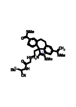 C=C(NC)c1ccc2c(c1)CCc1cc(C(=O)NC)ccc1C2(CCNCC(=O)NC(C#N)C[C@@H](C)CC)/C(N)=N/NC